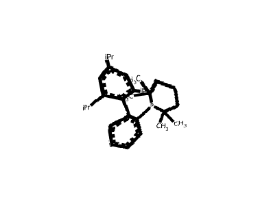 CC(C)c1cc(C(C)C)c(-c2ccccc2P2C(C)(C)CCCC2(C)C)c(C(C)C)c1